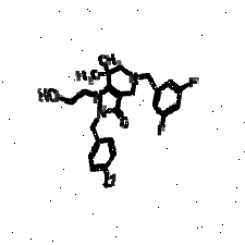 CC1(C)CN(Cc2cc(F)cc(F)c2)Cc2c1n(CCO)n(Cc1ccc(Cl)cc1)c2=O